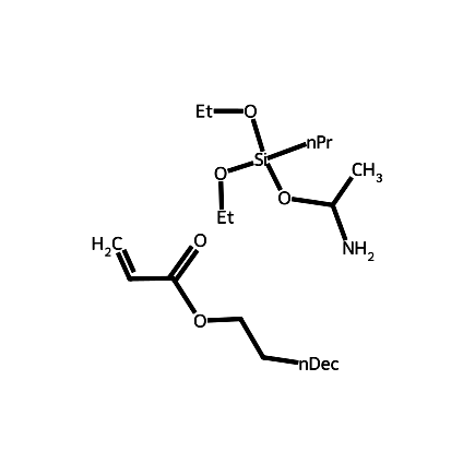 C=CC(=O)OCCCCCCCCCCCC.CCC[Si](OCC)(OCC)OC(C)N